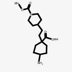 COC(=O)C1(CCC2CCN(C(=O)OC(C)(C)C)CC2)CCC(N)CC1